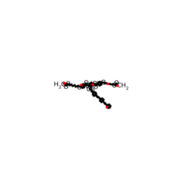 C=CC(=O)OCCCCCCOc1ccc(C(=O)Oc2ccc(OC(=O)c3ccc(OCCCCCCOC(=O)C=C)cc3)c(C(=O)OCc3ccc(C#Cc4ccc(C#Cc5ccccc5)cc4)cc3)c2)cc1